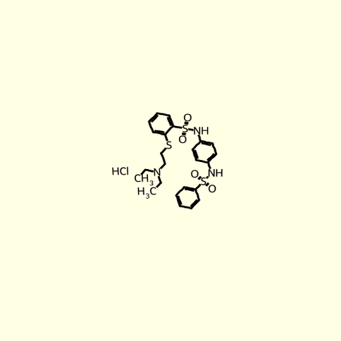 CCN(CC)CCSc1ccccc1S(=O)(=O)Nc1ccc(NS(=O)(=O)c2ccccc2)cc1.Cl